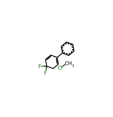 CCl.FC1(F)C=CC(c2ccccc2)=CC1